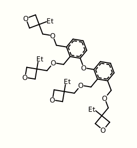 CCC1(COCc2cccc(Oc3cccc(COCC4(CC)COC4)c3COCC3(CC)COC3)c2COCC2(CC)COC2)COC1